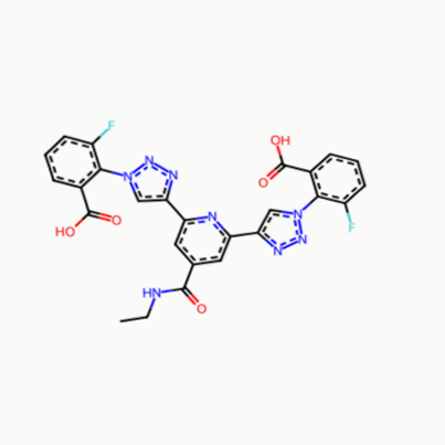 CCNC(=O)c1cc(-c2cn(-c3c(F)cccc3C(=O)O)nn2)nc(-c2cn(-c3c(F)cccc3C(=O)O)nn2)c1